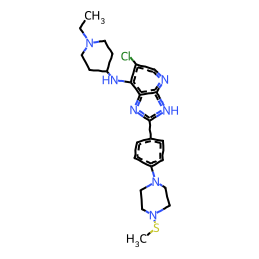 CCN1CCC(Nc2c(Cl)cnc3[nH]c(-c4ccc(N5CCN(SC)CC5)cc4)nc23)CC1